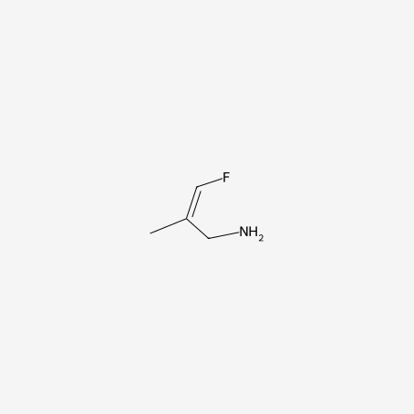 CC(=CF)CN